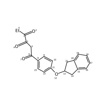 CCC(=O)C(=O)CC(=O)c1ccc(OC2Cc3ccccc3C2)cc1